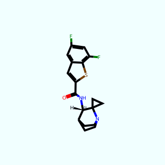 O=C(N[C@H]1C2CCN(CC2)C12CC2)c1cc2cc(F)cc(F)c2s1